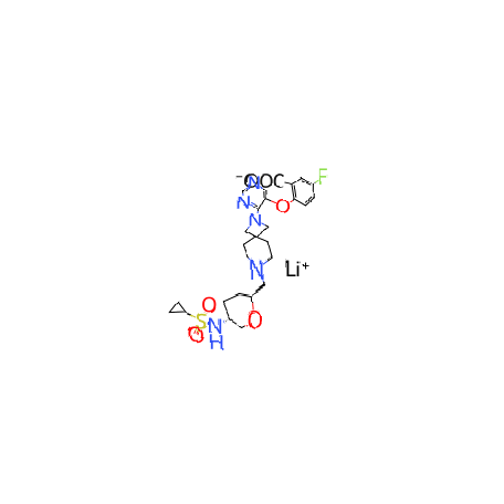 O=C([O-])c1cc(F)ccc1Oc1cncnc1N1CC2(CCN(C[C@@H]3CC[C@@H](NS(=O)(=O)C4CC4)CO3)CC2)C1.[Li+]